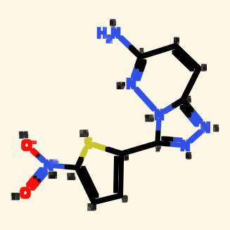 Nc1ccc2nnc(-c3ccc([N+](=O)[O-])s3)n2n1